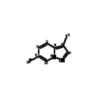 Fc1ccc2c(I)cnn2c1